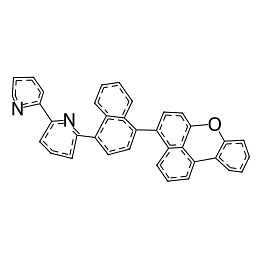 c1ccc(-c2cccc(-c3ccc(-c4ccc5c6c(cccc46)-c4ccccc4O5)c4ccccc34)n2)nc1